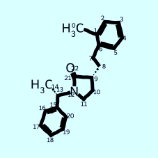 Cc1ccccc1CC[C@@H]1CCN([C@@H](C)c2ccccc2)C1=O